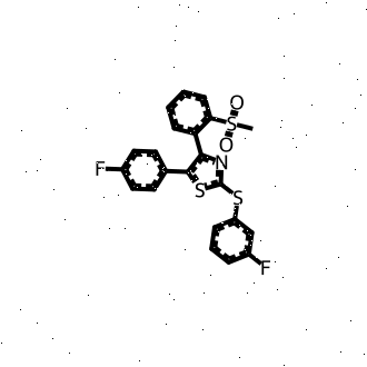 CS(=O)(=O)c1ccccc1-c1nc(Sc2cccc(F)c2)sc1-c1ccc(F)cc1